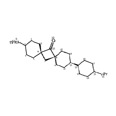 CCCCCCC1CC[C@]2(CC1)C[C@@]1(CC[C@H](C3CCC(CCC)CC3)CC1)C2=O